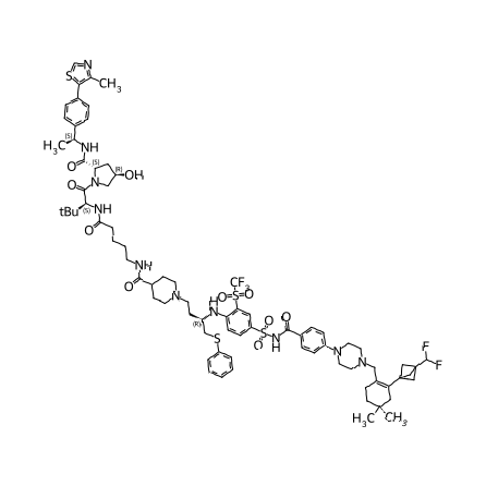 Cc1ncsc1-c1ccc([C@H](C)NC(=O)[C@@H]2C[C@@H](O)CN2C(=O)[C@@H](NC(=O)CCCCNC(=O)C2CCN(CC[C@H](CSc3ccccc3)Nc3ccc(S(=O)(=O)NC(=O)c4ccc(N5CCN(CC6=C(C78CC(C(F)F)(C7)C8)CC(C)(C)CC6)CC5)cc4)cc3S(=O)(=O)C(F)(F)F)CC2)C(C)(C)C)cc1